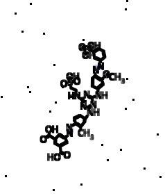 COc1cc(Nc2nc(NCCS(=O)(=O)O)nc(Nc3ccc(/N=N/c4cc(C(=O)O)cc(C(=O)O)c4)c(C)c3)n2)ccc1/N=N/c1cccc(P(=O)(O)O)c1